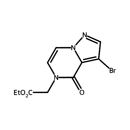 CCOC(=O)Cn1ccn2ncc(Br)c2c1=O